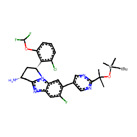 CC(C)(O[Si](C)(C)C(C)(C)C)c1ncc(-c2cc3c(cc2F)nc2n3[C@@H](c3c(Cl)cccc3OC(F)F)C[C@H]2N)cn1